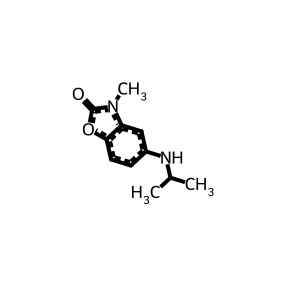 CC(C)Nc1ccc2oc(=O)n(C)c2c1